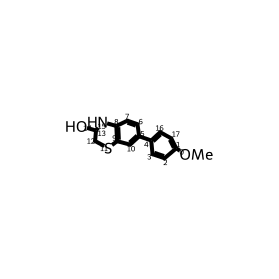 COc1ccc(-c2ccc3c(c2)SCC(O)N3)cc1